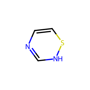 C1=CSNC=N1